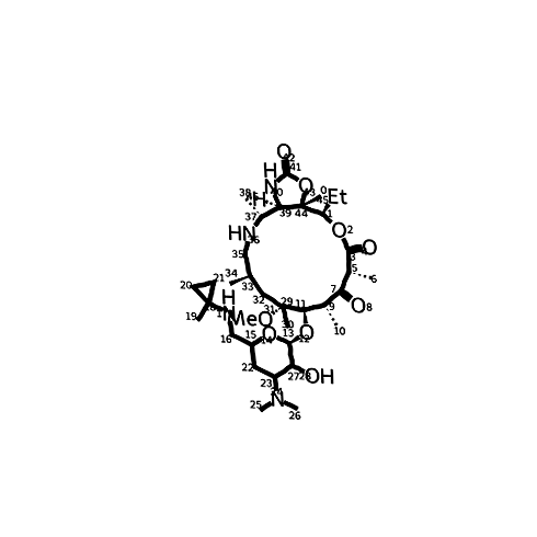 CC[C@H]1OC(=O)[C@H](C)C(=O)[C@H](C)[C@@H](O[C@@H]2OC(CNC3(C)CC3)CC(N(C)C)C2O)[C@](C)(OC)C[C@@H](C)CN[C@H](C)[C@H]2NC(=O)O[C@@]21C